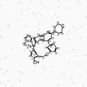 Cn1cncc1[C@]1(N)c2ccc(C#N)c(c2)COc2cccc(c2)-c2cc(N3CCOCC3)nc3ccc1cc23